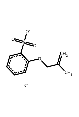 C=C(C)COc1ccccc1S(=O)(=O)[O-].[K+]